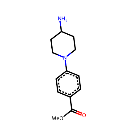 COC(=O)c1ccc(N2CCC(N)CC2)cc1